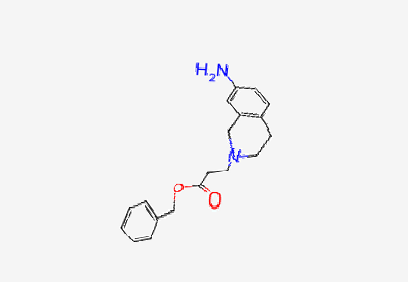 Nc1ccc2c(c1)CN(CCC(=O)OCc1ccccc1)CC2